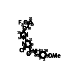 COc1ccc(SNC(=O)c2ccc(-n3ccc(OCC4(C(F)(F)F)CC4)n3)nc2Cl)cc1